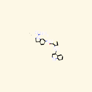 N#C/N=C(/N)N1CCc2ccc(NC(=O)c3sccc3NCc3ccnc4ccccc34)cc21